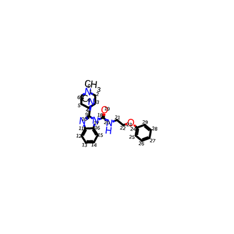 CN1CC2CCC1CN2c1nc2ccccc2n1C(=O)NCCOc1ccccc1